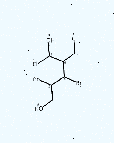 OCC(Br)C(Br)C(CCl)C(O)Cl